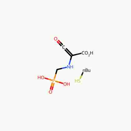 CCCCS.O=C=C(NCP(=O)(O)O)C(=O)O